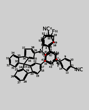 [C-]#[N+]c1ccc(-c2nc(-c3ccc([N+]#[C-])cc3)nc(-c3ccc4c(c3)C3(c5ccccc5-4)c4ccccc4-c4ccc(-n5c6ccc(F)cc6c6cc(F)ccc65)cc43)n2)cc1